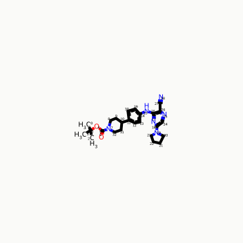 CC(C)(C)OC(=O)N1CCC(c2ccc(Nc3nc(N4CCCC4)cnc3C#N)cc2)CC1